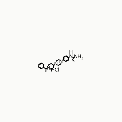 CC(c1ccccc1)N1CCC(N2CCN(c3ccc(NC(N)=S)cc3)CC2)CC1.Cl